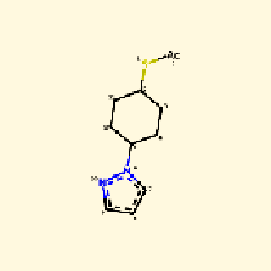 CC(=O)SC1CCC(n2cccn2)CC1